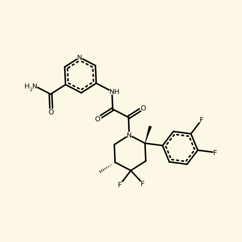 C[C@@H]1CN(C(=O)C(=O)Nc2cncc(C(N)=O)c2)[C@](C)(c2ccc(F)c(F)c2)CC1(F)F